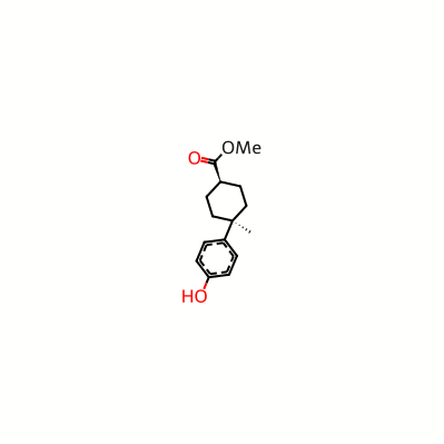 COC(=O)[C@H]1CC[C@@](C)(c2ccc(O)cc2)CC1